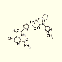 CC(Nc1cc(Cl)cnc1C(N)=O)c1ccc(C(=O)N[C@@H](CC2CCCC2)C(=O)Nc2cnn(C)c2)s1